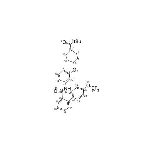 CC(C)(C)C(=O)N1CCC(Oc2cccc(NC(=O)c3ccccc3-c3ccc(OC(F)(F)F)cc3)c2)CC1